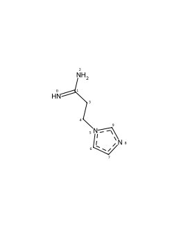 N=C(N)CCn1ccnc1